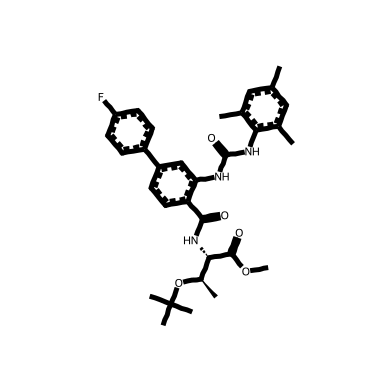 COC(=O)[C@@H](NC(=O)c1ccc(-c2ccc(F)cc2)cc1NC(=O)Nc1c(C)cc(C)cc1C)[C@@H](C)OC(C)(C)C